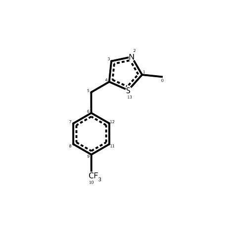 Cc1ncc(Cc2ccc(C(F)(F)F)cc2)s1